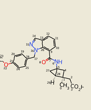 C[C@@]1(CC(=O)O)CC2(NC(=O)c3cccc4cnn(Cc5ccc(OC(F)(F)F)cc5)c34)C[C@@H]21